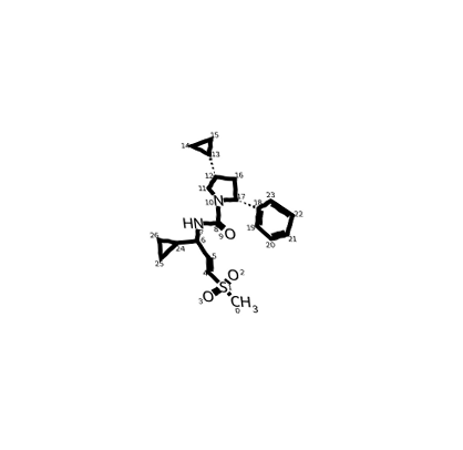 CS(=O)(=O)/C=C/C(NC(=O)N1C[C@H](C2CC2)C[C@@H]1c1ccccc1)C1CC1